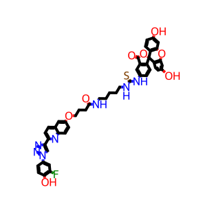 O=C(CCCOc1ccc2nc(-c3cn(-c4ccc(O)c(F)c4)nn3)ccc2c1)NCCCCCNC(=S)Nc1ccc2c(c1)C(=O)OC21c2ccc(O)cc2Oc2cc(O)ccc21